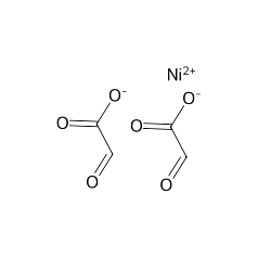 O=CC(=O)[O-].O=CC(=O)[O-].[Ni+2]